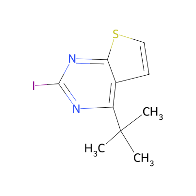 CC(C)(C)c1nc(I)nc2sccc12